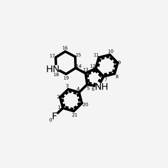 Fc1ccc(-c2[nH]c3ccccc3c2C2CCCNC2)cc1